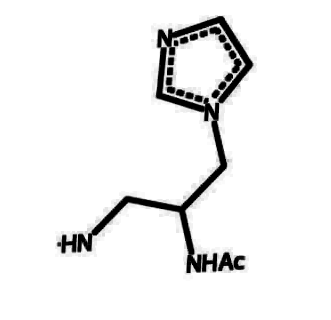 CC(=O)NC(C[NH])Cn1ccnc1